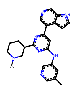 CC(=O)N1CCCC(c2nc(Nc3cncc(C)c3)cc(-c3cncc4[nH]ccc34)n2)C1